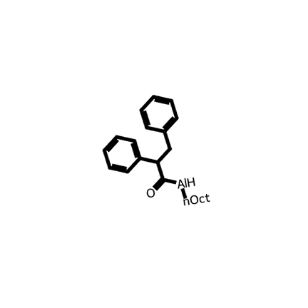 CCCCCCC[CH2][AlH][C](=O)C(Cc1ccccc1)c1ccccc1